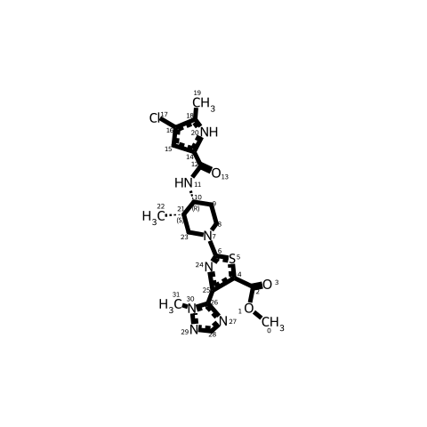 COC(=O)c1sc(N2CC[C@@H](NC(=O)c3cc(Cl)c(C)[nH]3)[C@@H](C)C2)nc1-c1ncnn1C